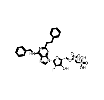 O=P(O)(O)CP(=O)(O)OC[C@H]1O[C@@H](n2cnc3c(NCc4ccccc4)nc(CCc4ccccc4)nc32)[C@@H](F)[C@@H]1O